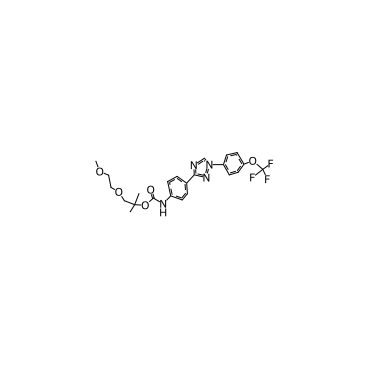 COCCOCC(C)(C)OC(=O)Nc1ccc(-c2ncn(-c3ccc(OC(F)(F)F)cc3)n2)cc1